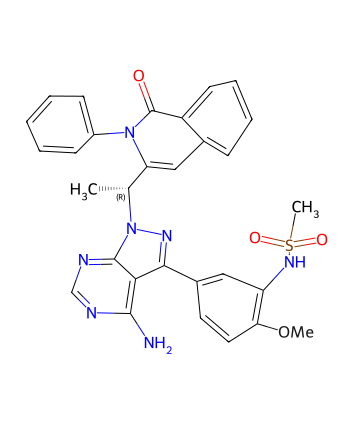 COc1ccc(-c2nn([C@H](C)c3cc4ccccc4c(=O)n3-c3ccccc3)c3ncnc(N)c23)cc1NS(C)(=O)=O